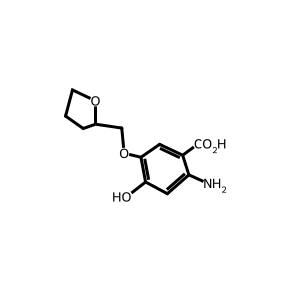 Nc1cc(O)c(OCC2CCCO2)cc1C(=O)O